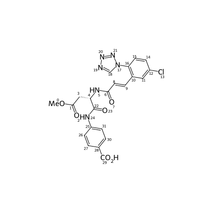 COC(=O)C[C@H](NC(=O)C=Cc1cc(Cl)ccc1-n1cnnn1)C(=O)Nc1ccc(C(=O)O)cc1